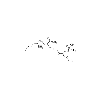 CCC/C=C(N)/C=C\C[C@H](CCCCO[C@H](COC)COP(C)(=O)O)C(C)=O